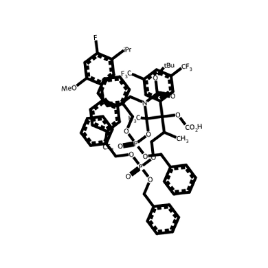 COc1cc(F)c(C(C)C)cc1-c1ccc(C(F)(F)F)cc1CN(C(=O)OC(C)(C)C)C(C)(OP(=O)(OCc1ccccc1)OCc1ccccc1)C(OC(=O)O)(c1cc(C(F)(F)F)cc(C(F)(F)F)c1)C(C)COP(=O)(OCc1ccccc1)OCc1ccccc1